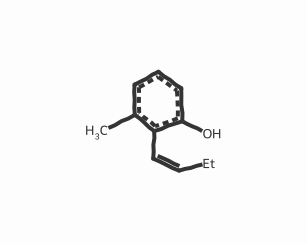 CC/C=C\c1c(C)cccc1O